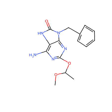 COC(C)Oc1nc(N)c2[nH]c(=O)n(Cc3ccccc3)c2n1